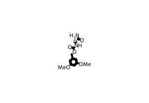 COc1cc(COC(=O)NOC(N)=O)cc(OC)c1